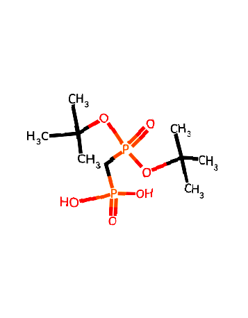 CC(C)(C)OP(=O)(CP(=O)(O)O)OC(C)(C)C